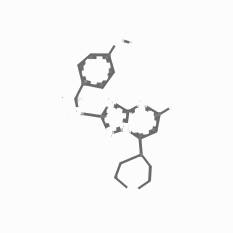 COc1ccc([C@@H](C)Nc2nc3nc(C)cc(C4CCOCC4)n3n2)cc1